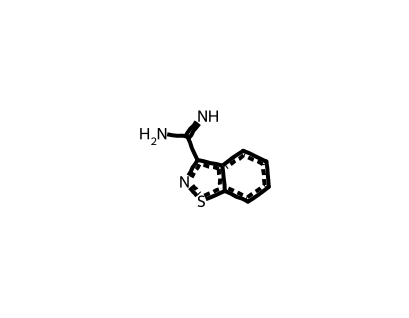 N=C(N)c1nsc2ccccc12